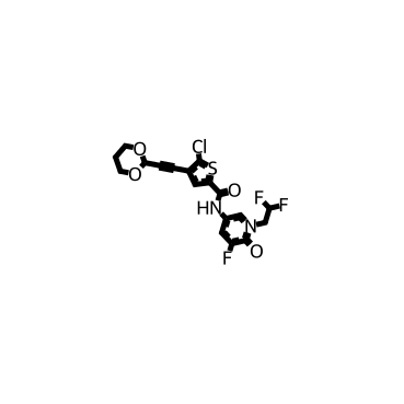 O=C(Nc1cc(F)c(=O)n(CC(F)F)c1)c1cc(C#CC2OCCCO2)c(Cl)s1